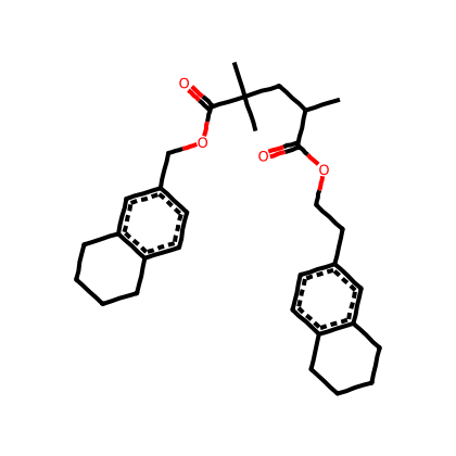 CC(CC(C)(C)C(=O)OCc1ccc2c(c1)CCCC2)C(=O)OCCc1ccc2c(c1)CCCC2